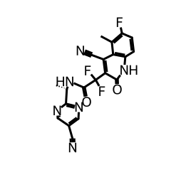 Cc1c(F)ccc2[nH]c(=O)c(C(F)(F)C(=O)N[C@@H](C)c3ncc(C#N)cn3)c(C#N)c12